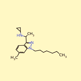 CCCCCCCn1nc(C(C)NC2CC2)c2ccc(C)cc21